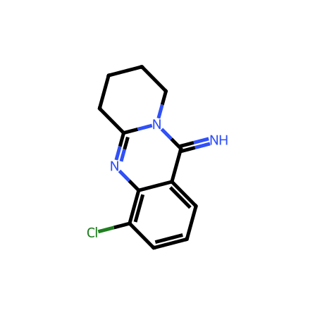 N=c1c2cccc(Cl)c2nc2n1CCCC2